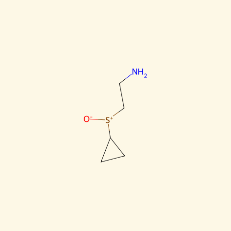 NCC[S+]([O-])C1CC1